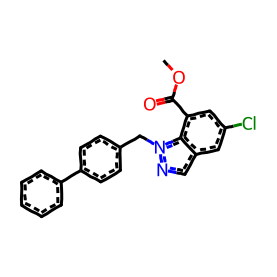 COC(=O)c1cc(Cl)cc2cnn(Cc3ccc(-c4ccccc4)cc3)c12